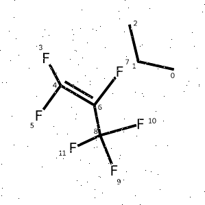 CCC.FC(F)=C(F)C(F)(F)F